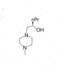 CCC[C@@H](O)CN1CCN(C)CC1